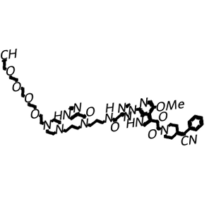 C#CCOCCOCCOCCOCCN1CCN(CCCN(CCCNC(=O)c2ncn(-c3ncc(OC)c4c(C(=O)C(=O)N5CCC(=C(C#N)c6ccccc6)CC5)c[nH]c34)n2)C(=O)c2c[nH]cn2)CC1